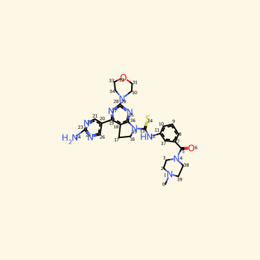 CN1CCN(C(=O)c2cccc(NC(=S)N3CCc4c(-c5cnc(N)nc5)nc(N5CCOCC5)nc43)c2)CC1